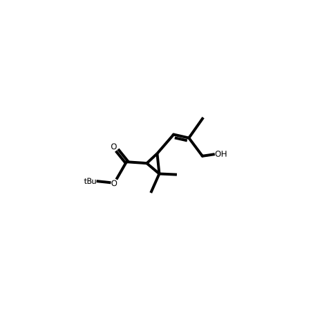 CC(=CC1C(C(=O)OC(C)(C)C)C1(C)C)CO